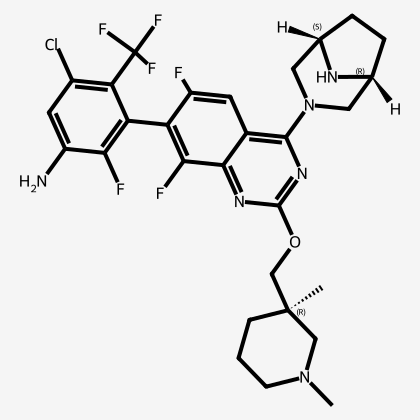 CN1CCC[C@@](C)(COc2nc(N3C[C@H]4CC[C@@H](C3)N4)c3cc(F)c(-c4c(F)c(N)cc(Cl)c4C(F)(F)F)c(F)c3n2)C1